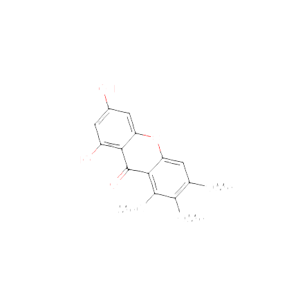 COc1cc2oc3cc(O)cc(O)c3c(=O)c2c(OC)c1OC